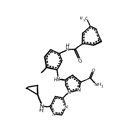 Cc1ccc(NC(=O)c2cccc(C(F)(F)F)c2)cc1Nc1cc(C(N)=O)nn1-c1cc(NC2CC2)ncn1